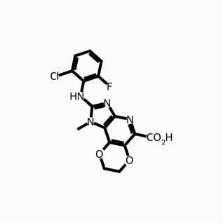 Cn1c(Nc2c(F)cccc2Cl)nc2nc(C(=O)O)c3c(c21)OCCO3